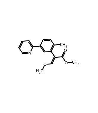 CO/C=C(/C(=O)OC)c1cc(-c2ccccn2)ccc1C